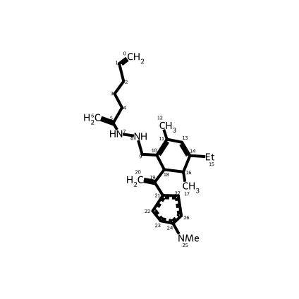 C=CCCCC(=C)NNCC1=C(C)C=C(CC)C(C)C1C(=C)c1ccc(NC)cc1